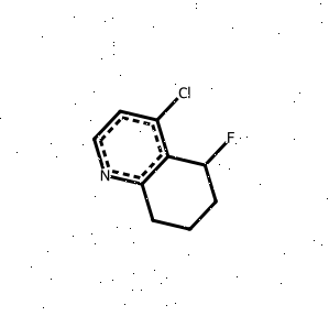 FC1CCCc2nccc(Cl)c21